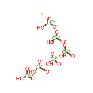 [O-][Cl+2]([O-])O.[O-][Cl+2]([O-])O.[O-][Cl+2]([O-])O.[O-][Cl+2]([O-])O.[O-][Cl+2]([O-])O.[O-][Cl+2]([O-])O.[S]